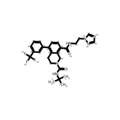 CC(C)(C)NC(=O)N1CCc2c(-c3cccc(C(F)(F)F)c3)ccc(C(=O)NCCn3cncn3)c2C1